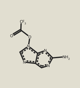 Nc1ncc2ncn(OC(=O)C(F)(F)F)c2n1